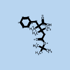 CC(C)(C)OC(=O)CC(C)(C)C(N)(Cc1ccccc1)C(=O)O